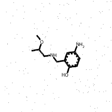 COC(C)CNCc1cc(N)ccc1O